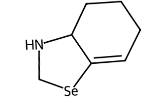 C1=C2[Se]CNC2CCC1